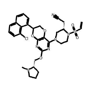 C=CS(=O)(=O)N1CCN(c2nc(OC[C@@H]3CCCN3C)nc3c2OCC(c2cccc4cccc(Cl)c24)O3)C[C@@H]1CC#N